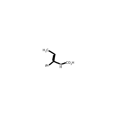 CC=C(NC(=O)O)C(C)C